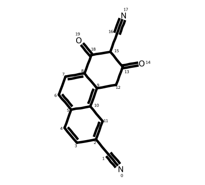 N#Cc1ccc2ccc3c(c2c1)CC(=O)C(C#N)C3=O